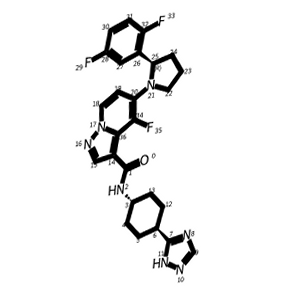 O=C(N[C@H]1CC[C@H](c2ncn[nH]2)CC1)c1cnn2ccc(N3CCC[C@@H]3c3cc(F)ccc3F)c(F)c12